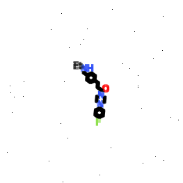 CCNCc1ccc(/C=C/C(=O)N2CCN(c3ccc(F)cc3)CC2)cc1